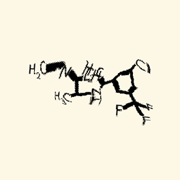 C=C/N=C(\C)C(C)NC(=C)c1cc(Cl)cc(C(F)(F)F)c1